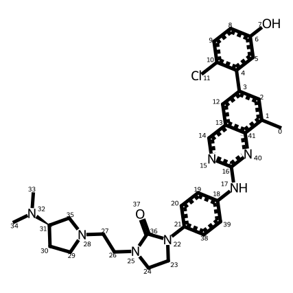 Cc1cc(-c2cc(O)ccc2Cl)cc2cnc(Nc3ccc(N4CCN(CCN5CC[C@@H](N(C)C)C5)C4=O)cc3)nc12